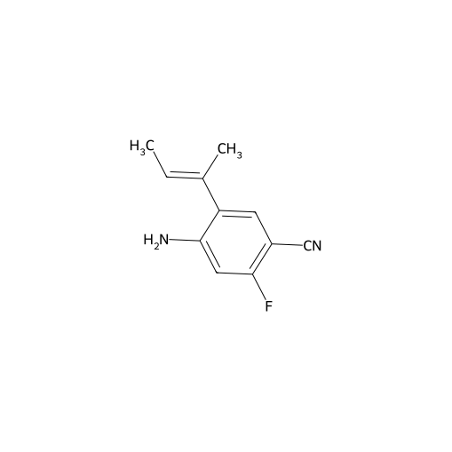 C/C=C(\C)c1cc(C#N)c(F)cc1N